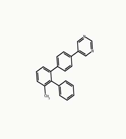 Cc1cccc(-c2ccc(-c3cncnc3)cc2)c1-c1ccccc1